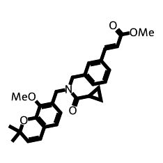 COC(=O)/C=C/c1cccc(CN(Cc2ccc3c(c2OC)OC(C)(C)C=C3)C(=O)C2CC2)c1